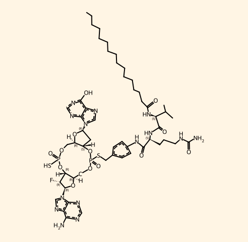 CCCCCCCCCCCCCCCC(=O)N[C@H](C(=O)N[C@@H](CCCNC(N)=O)C(=O)Nc1ccc(CSP2(=O)OC[C@H]3O[C@@H](n4cnc5c(N)ncnc54)[C@H](F)[C@@H]3OP(=O)(S)OC[C@H]3O[C@@H](n4cnc5c(O)ncnc54)C[C@@H]3O2)cc1)C(C)C